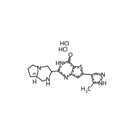 Cc1[nH]ncc1-c1cc2nc(C3CN4CCC[C@@H]4CN3)[nH]c(=O)c2s1.Cl.Cl